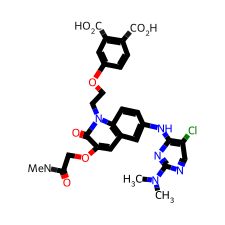 CNC(=O)COc1cc2cc(Nc3nc(N(C)C)ncc3Cl)ccc2n(CCOc2ccc(C(=O)O)c(C(=O)O)c2)c1=O